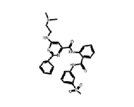 CN(C)CCNc1cc(C(=O)Nc2ccccc2C(=O)Nc2cccc(S(C)(=O)=O)c2)nc(-c2ccccc2)n1